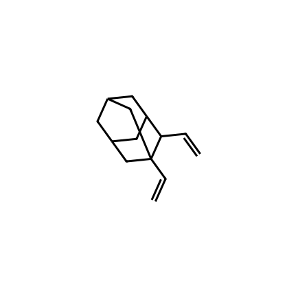 C=CC1C2CC3CC(C2)CC1(C=C)C3